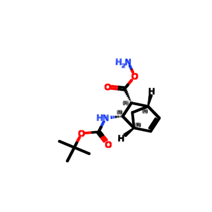 CC(C)(C)OC(=O)N[C@@H]1[C@H](C(=O)ON)[C@@H]2C=C[C@H]1C2